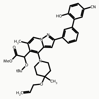 C=CCOC1(C)CCN(c2c(C(OC(C)(C)C)C(=O)OC)c(C)cn3nc(-c4cccc(-c5cc(C#N)ccc5O)c4)cc23)CC1